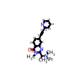 CC(C)N(C)C(C)c1nc2cc(C#Cc3ccccn3)ccc2c(=O)n1C